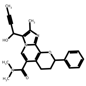 CC#CC(O)c1c(C)nc2c3c(c(C(=O)N(C)C)cn12)CCC(c1ccccc1)O3